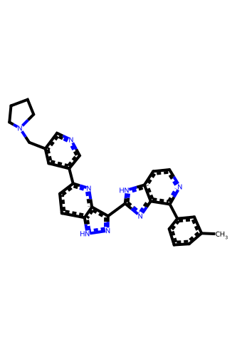 Cc1cccc(-c2nccc3[nH]c(-c4n[nH]c5ccc(-c6cncc(CN7CCCC7)c6)nc45)nc23)c1